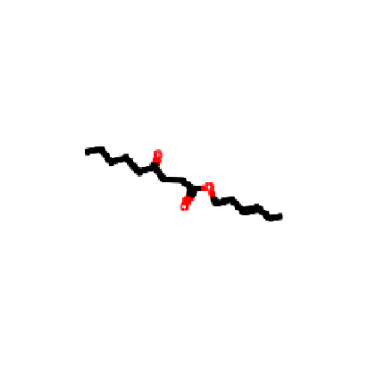 CCC=CCCOC(=O)CCC(=O)CCCCC